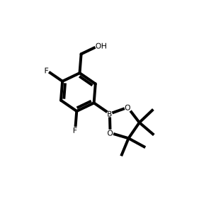 CC1(C)OB(c2cc(CO)c(F)cc2F)OC1(C)C